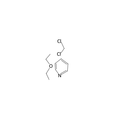 CCOCC.ClCCl.c1ccncc1